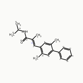 C/C(=C\c1cc(C)c(-c2ccccc2)cc1C)C(=O)NC(C)C